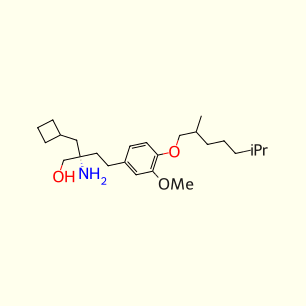 COc1cc(CC[C@@](N)(CO)CC2CCC2)ccc1OCC(C)CCCC(C)C